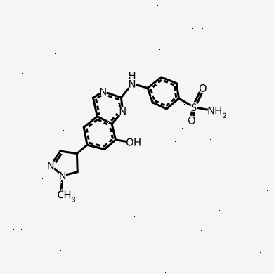 CN1CC(c2cc(O)c3nc(Nc4ccc(S(N)(=O)=O)cc4)ncc3c2)C=N1